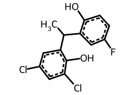 CC(c1cc(F)ccc1O)c1cc(Cl)cc(Cl)c1O